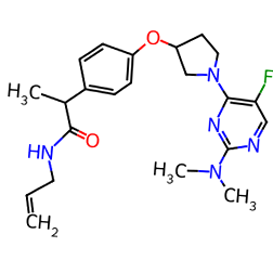 C=CCNC(=O)C(C)c1ccc(OC2CCN(c3nc(N(C)C)ncc3F)C2)cc1